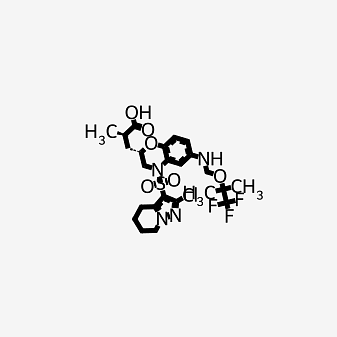 C[C@H](C[C@H]1CN(S(=O)(=O)c2c(Cl)nn3c2CCCC3)c2cc(NCOC(C)(C)C(F)(F)F)ccc2O1)C(=O)O